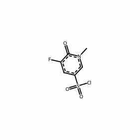 Cn1cc(S(=O)(=O)Cl)cc(F)c1=O